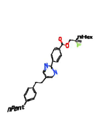 CCCCCC[C@@H](F)COC(=O)c1ccc(-c2ncc(CCc3ccc(CCCCC)cc3)cn2)cc1